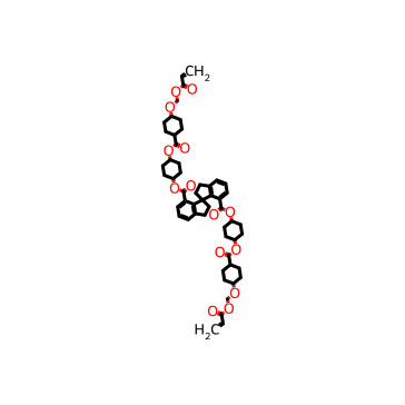 C=CC(=O)OCOC1CCC(C(=O)OC2CCC(OC(=O)c3cccc4c3C3(CC4)CCc4cccc(C(=O)OC5CCC(OC(=O)C6CCC(OCOC(=O)C=C)CC6)CC5)c43)CC2)CC1